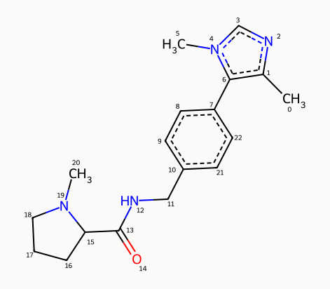 Cc1ncn(C)c1-c1ccc(CNC(=O)C2CCCN2C)cc1